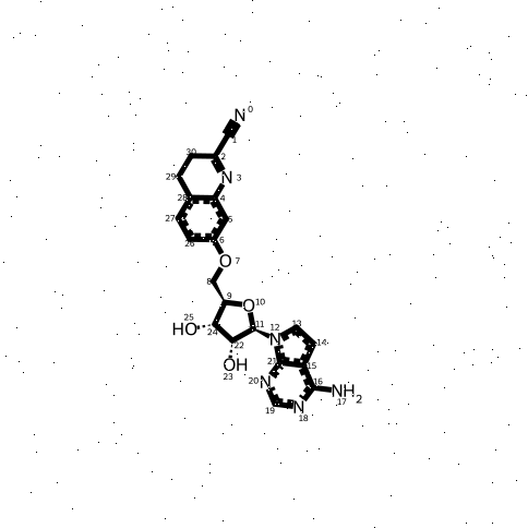 N#CC1=Nc2cc(OC[C@H]3O[C@@H](n4ccc5c(N)ncnc54)[C@H](O)[C@@H]3O)ccc2CC1